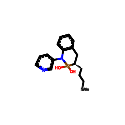 CNCCC[C@H]1Cc2ccccc2N(c2cccnc2)S1(O)O